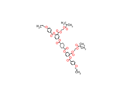 C=CCOc1ccc(C(=O)Oc2ccc(OC(=O)C3CCC(C(=O)Oc4ccc(OC(=O)c5ccc(OCC=C)cc5)c(C(=O)OCCOC(=O)C(=C)C)c4)CC3)cc2C(=O)OCCOC(=O)C(=C)C)cc1